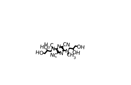 CN(CC(O)CO)c1nc(C#N)c(N(C)CC(O)CO)nc1C#N